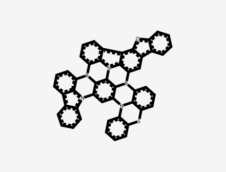 c1ccc2c(c1)Sc1cccc3c1N2c1cc2c4c5c1B3c1cc3c6ccccc6oc3c3c6cccc(c6n-5c13)B4c1cccc3c4ccccc4n-2c13